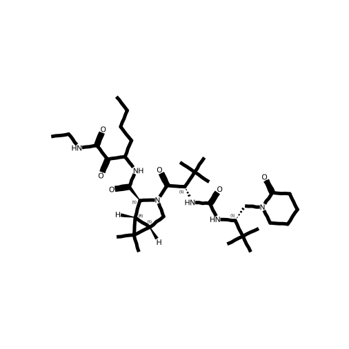 CCCCC(NC(=O)[C@@H]1[C@@H]2[C@H](CN1C(=O)[C@@H](NC(=O)N[C@H](CN1CCCCC1=O)C(C)(C)C)C(C)(C)C)C2(C)C)C(=O)C(=O)NCC